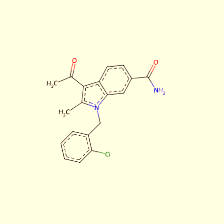 CC(=O)c1c(C)n(Cc2ccccc2Cl)c2cc(C(N)=O)ccc12